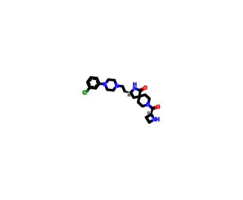 O=C([C@@H]1CCN1)N1CCC2(CC1)C[C@H](CCN1CCN(c3cccc(Cl)c3)CC1)NC2=O